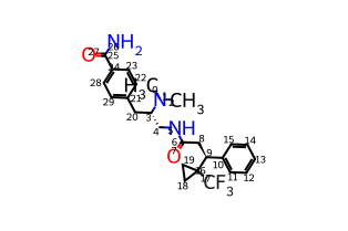 CN(C)[C@H](CNC(=O)C[C@@H](c1ccccc1)C1(C(F)(F)F)CC1)Cc1ccc(C(N)=O)cc1